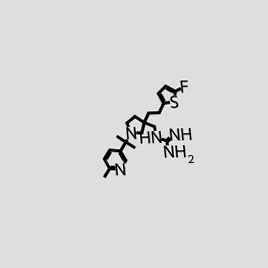 Cc1ccc(C(C)(C)N2CCC(CCc3ccc(F)s3)(CNC(=N)N)C2)cn1